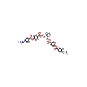 Cc1ccc(C(=O)Oc2ccc(C(=O)OCCC(C)CCOC(=O)c3ccc(OC(=O)c4ccc(N)cc4)cc3)cc2)cc1